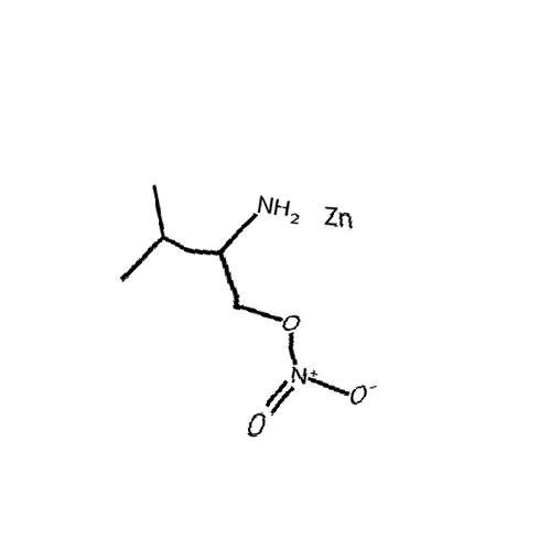 CC(C)C(N)CO[N+](=O)[O-].[Zn]